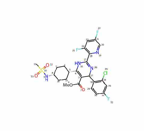 COC(=O)C1=C([C@H]2CC[C@@H](NS(C)(=O)=O)CC2)NC(c2ncc(F)cc2F)=NC1c1ccc(F)cc1Cl